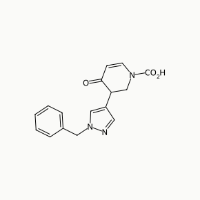 O=C1C=CN(C(=O)O)CC1c1cnn(Cc2ccccc2)c1